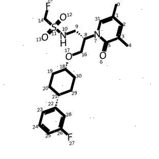 Cc1cc(C)c(=O)n([C@@H](CNS(=O)(=O)CF)CO[C@H]2CC[C@@H](c3cccc(F)c3)CC2)c1